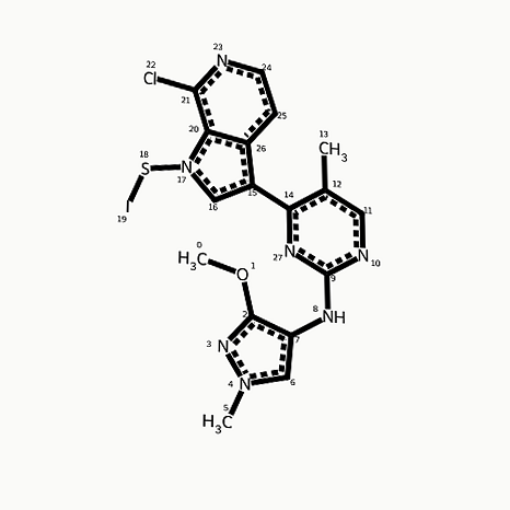 COc1nn(C)cc1Nc1ncc(C)c(-c2cn(SI)c3c(Cl)nccc23)n1